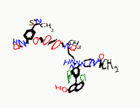 C=CC(=O)N1CCN(c2nc(NCCC(=O)N(C)CCOCCOCCOc3cc(-c4scnc4C)ccc3CNC=O)nc3c(F)c(-c4cc(O)cc5ccccc45)c(Cl)cc23)CC1